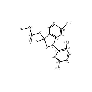 COC(=O)CC1(C)CN(c2nc(Cl)ncc2Cl)c2cc(F)ccc21